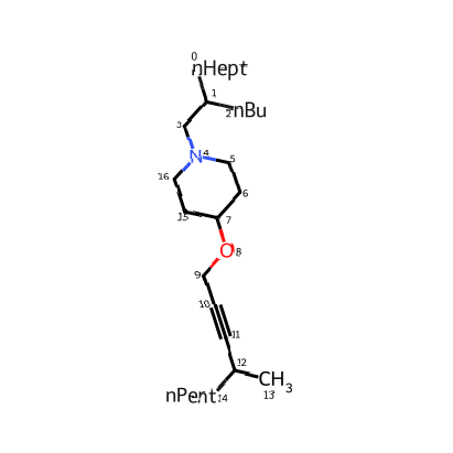 CCCCCCCC(CCCC)CN1CCC(OCC#CC(C)CCCCC)CC1